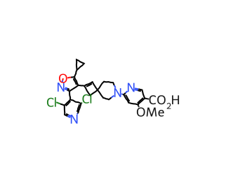 COc1cc(N2CCC3(C=C(c4c(-c5c(Cl)cncc5Cl)noc4C4CC4)C3)CC2)ncc1C(=O)O